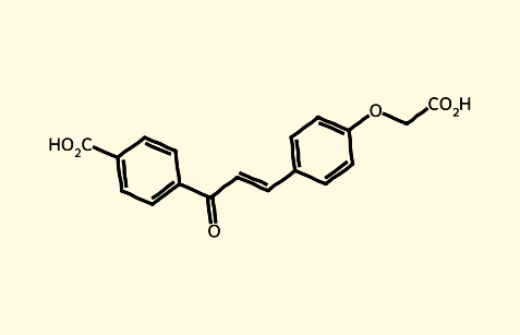 O=C(O)COc1ccc(C=CC(=O)c2ccc(C(=O)O)cc2)cc1